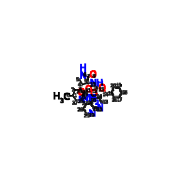 C[C@H]1C[C@H](C2CNC(=O)[C@]2(NC(=O)OCc2ccccc2)OC(N)=O)CN(c2ccnc3nccnc23)C1